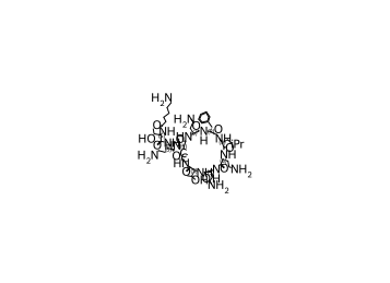 CC(C)C[C@@H]1NC(=O)[C@@H](Cc2ccccc2)NC(=O)[C@H](CCN)NC(=O)[C@@H](NC(=O)[C@H](CCN)NC(=O)[C@@H](NC(=O)CCCCCN)C(C)O)CCNC(=O)[C@H](C(C)O)NC(=O)[C@H](CCN)NC(=O)[C@H](CCN)NC1=O